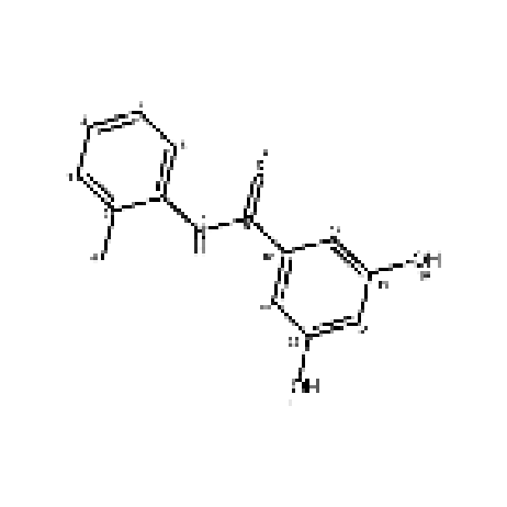 Cc1ccccc1NC(=S)c1cc(O)cc(O)c1